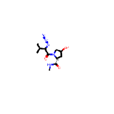 CNC(=O)[C@H]1CC(O)CN1C(=O)C(N=[N+]=[N-])C(C)C